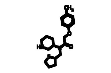 Cc1ccc(OCC(=O)N(CC2CCCS2)C2CCCNC2)cc1